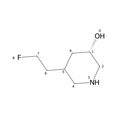 O[C@@H]1CNCC(CCF)C1